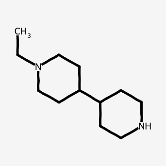 CCN1CCC(C2CCNCC2)CC1